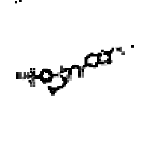 Cc1ccc2c(n1)CCC(NCc1nc(CC3CC3)n(-c3ccc(S(N)(=O)=O)cc3)n1)C2